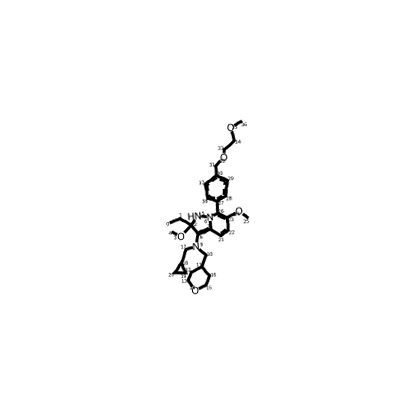 CCC1(OC)NN2C(=C1N(CC1CCOCC1)CC1CC1)C=CC(OC)=C2c1ccc(COCCOC)cc1